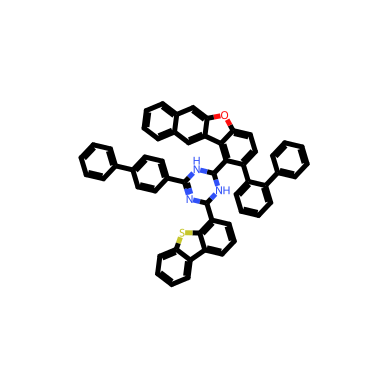 c1ccc(-c2ccc(C3=NC(c4cccc5c4sc4ccccc45)NC(c4c(-c5ccccc5-c5ccccc5)ccc5oc6cc7ccccc7cc6c45)N3)cc2)cc1